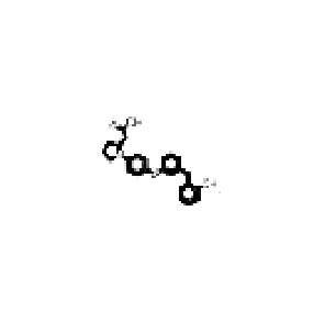 Cc1ccccc1Cc1cccc(Oc2ccc(N3CCCC3CC(=O)O)cc2)c1